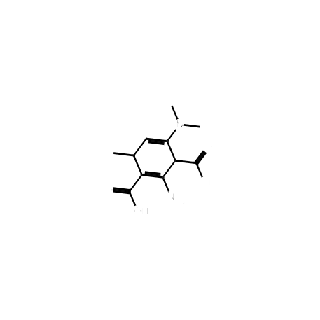 CC1C=C(N(C)C)C(C(=O)O)C(N)=C1C(=O)O